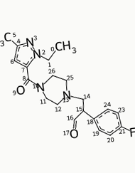 CCn1nc(C)cc1C(=O)N1CCN(CC(C=O)c2ccc(F)cc2)CC1